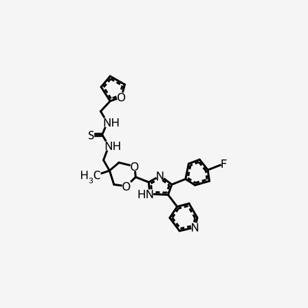 CC1(CNC(=S)NCc2ccco2)COC(c2nc(-c3ccc(F)cc3)c(-c3ccncc3)[nH]2)OC1